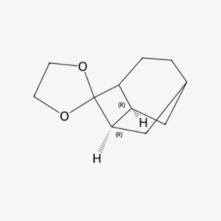 C1COC2(O1)C1CCC3C[C@H]1[C@H]2C3